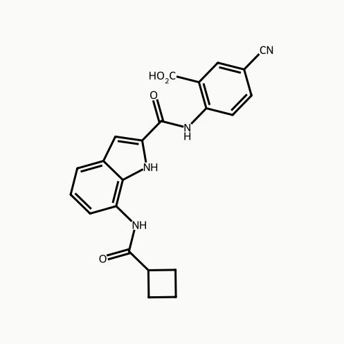 N#Cc1ccc(NC(=O)c2cc3cccc(NC(=O)C4CCC4)c3[nH]2)c(C(=O)O)c1